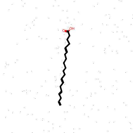 C=CCC=CCC=CCCCCCCC=CCCCC(=O)O